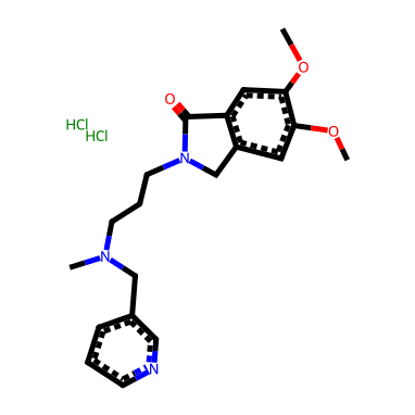 COc1cc2c(cc1OC)C(=O)N(CCCN(C)Cc1cccnc1)C2.Cl.Cl